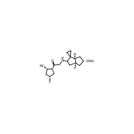 CO[C@@H]1C[C@@H]2CC(NCC(=O)N3C[C@@H](F)C[C@H]3C#N)C3(CC3)[C@@H]2C1